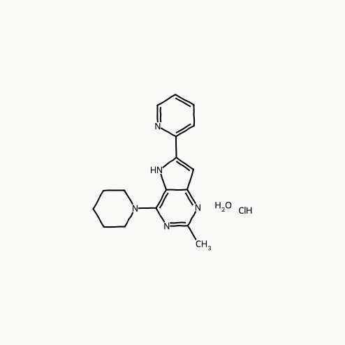 Cc1nc(N2CCCCC2)c2[nH]c(-c3ccccn3)cc2n1.Cl.O